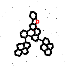 c1cc(-c2ccc3oc4ccccc4c3c2)c(-c2ccc(-c3ccc4ccc5cccc6ccc3c4c56)c3ccccc23)c(-c2ccc3ccc4cccc5ccc2c3c45)c1